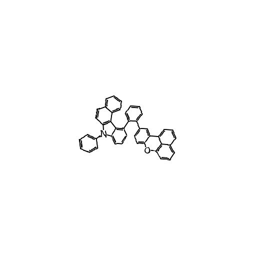 c1ccc(-n2c3cccc(-c4ccccc4-c4ccc5c(c4)-c4cccc6cccc(c46)O5)c3c3c4ccccc4ccc32)cc1